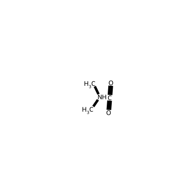 CNC.O=C=O